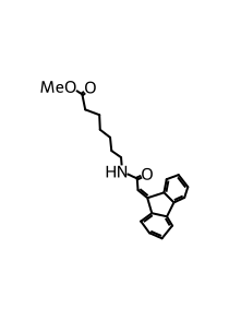 COC(=O)CCCCCCNC(=O)C=C1c2ccccc2-c2ccccc21